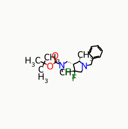 C[C@H]1[C@@H](CN(C)C(=O)OC(C)(C)C)C(F)(F)CN1Cc1ccccc1